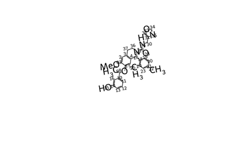 COc1cc2c(cc1OC(C)c1cccc(O)c1)C(c1ccc(C)cc1C)N(C(=O)NCc1cocn1)CC2